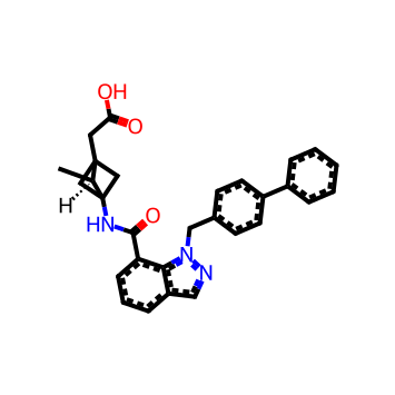 C[C@H]1C2(CC(=O)O)CC1(NC(=O)c1cccc3cnn(Cc4ccc(-c5ccccc5)cc4)c13)C2